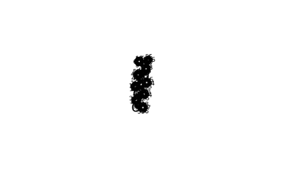 c1ccc2c(c1)-c1c(ccc3oc4c(-c5c6ccccc6c(-c6cccc7c6oc6ccc8oc9ccccc9c8c67)c6ccccc56)cccc4c13)C21CCCC1